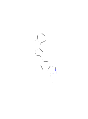 Cc1ccccc1C1=CC(c2ccc3c(c2)C=NC3CC(=O)O)=CC1